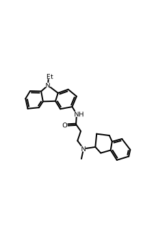 CCn1c2ccccc2c2cc(NC(=O)CCN(C)C3CCc4ccccc4C3)ccc21